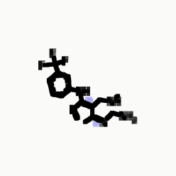 C=N/C(Nc1cccc(C(F)(F)F)c1)=C(CNC)\C(C)=N/CN